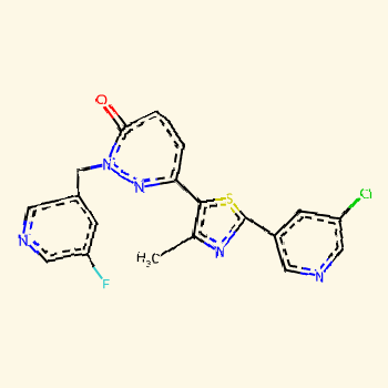 Cc1nc(-c2cncc(Cl)c2)sc1-c1ccc(=O)n(Cc2cncc(F)c2)n1